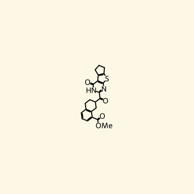 COC(=O)c1cccc2c1CC(C(=O)c1nc3sc4c(c3c(=O)[nH]1)CCC4)CC2